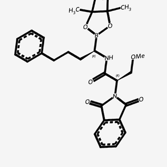 COC[C@H](C(=O)N[C@@H](CCCc1ccccc1)B1OC(C)(C)C(C)(C)O1)N1C(=O)c2ccccc2C1=O